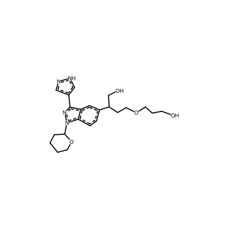 OCCCOCCC(CO)c1ccc2c(c1)c(-c1cn[nH]c1)nn2C1CCCCO1